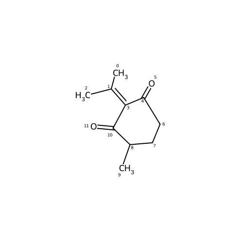 CC(C)=C1C(=O)CCC(C)C1=O